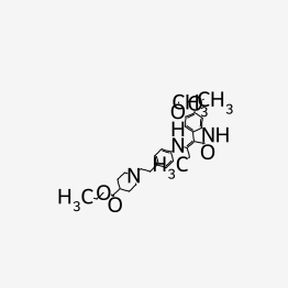 CCOC(=O)C1CCN(CCc2ccc(NC(CC)=C3C(=O)Nc4cc(OC)c(OC)cc43)cc2)CC1